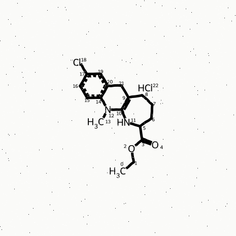 CCOC(=O)C1CCCC2=C(N1)N(C)c1ccc(Cl)cc1C2.Cl